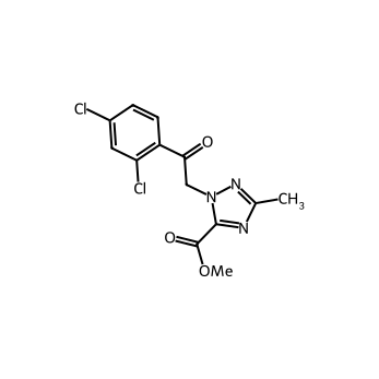 COC(=O)c1nc(C)nn1CC(=O)c1ccc(Cl)cc1Cl